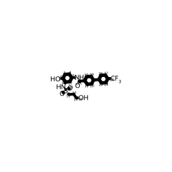 O=C(Nc1ccc(O)c(NS(=O)(=O)CCCO)c1)c1ccc(-c2ccc(C(F)(F)F)cc2)cc1